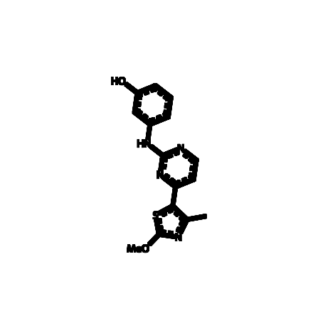 COc1nc(C)c(-c2ccnc(Nc3cccc(O)c3)n2)s1